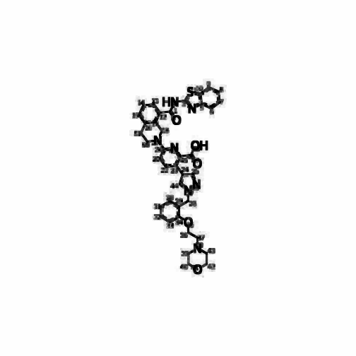 O=C(Nc1nc2ccccc2s1)c1cccc2c1CN(c1ccc(-c3cnn(Cc4ccccc4OCCN4CCOCC4)c3)c(C(=O)O)n1)CC2